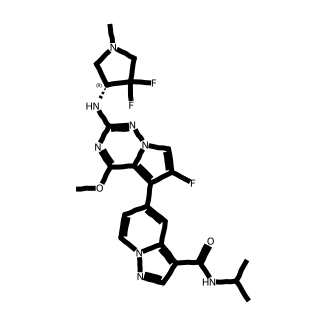 COc1nc(N[C@@H]2CN(C)CC2(F)F)nn2cc(F)c(-c3ccn4ncc(C(=O)NC(C)C)c4c3)c12